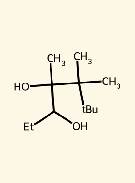 CCC(O)C(C)(O)C(C)(C)C(C)(C)C